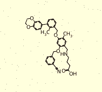 Cc1cc(CNCCCC(=O)O)c(OCc2cccc(C#N)c2)cc1OCc1cccc(-c2ccc3c(c2)OCCO3)c1C